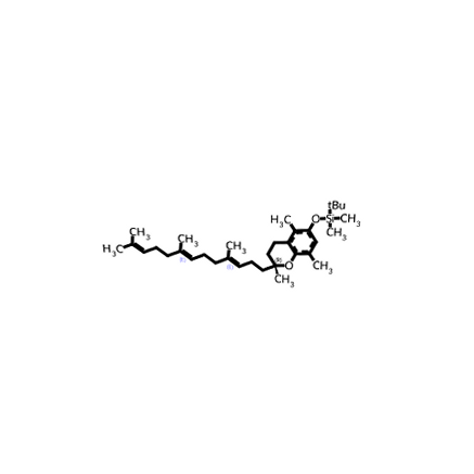 CC(C)=CCC/C(C)=C/CC/C(C)=C/CC[C@]1(C)CCc2c(C)c(O[Si](C)(C)C(C)(C)C)cc(C)c2O1